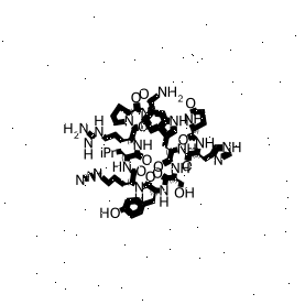 CC(C)C[C@H](NC(=O)[C@H](CCCN=[N+]=[N-])NC(=O)[C@H](Cc1ccc(O)cc1)NC(=O)[C@H](CO)NC(=O)[C@H](Cc1c[nH]c2ccccc12)NC(=O)[C@H](Cc1c[nH]cn1)NC(=O)[C@@H]1CCC(=O)N1)C(=O)N[C@@H](CCCNC(=N)N)C(=O)N1CCC[C@H]1C(=O)NCC(N)=O